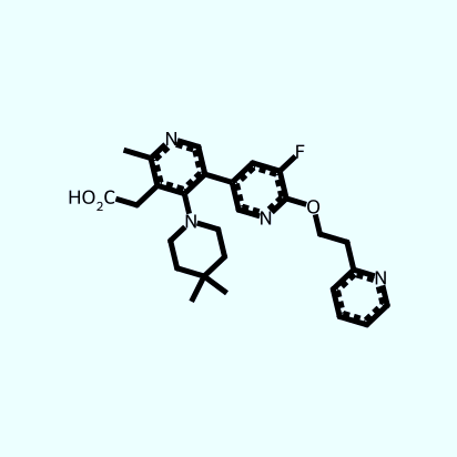 Cc1ncc(-c2cnc(OCCc3ccccn3)c(F)c2)c(N2CCC(C)(C)CC2)c1CC(=O)O